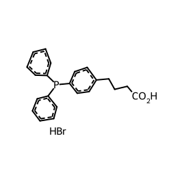 Br.O=C(O)CCCc1ccc(P(c2ccccc2)c2ccccc2)cc1